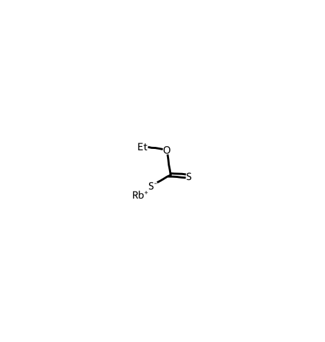 CCOC(=S)[S-].[Rb+]